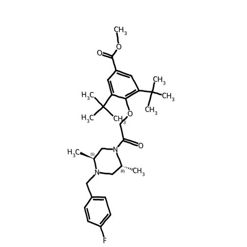 COC(=O)c1cc(C(C)(C)C)c(OCC(=O)N2C[C@H](C)N(Cc3ccc(F)cc3)C[C@H]2C)c(C(C)(C)C)c1